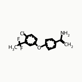 C=C(N)c1ccc(Oc2ccc(Cl)c(C(C)(F)F)c2)cc1